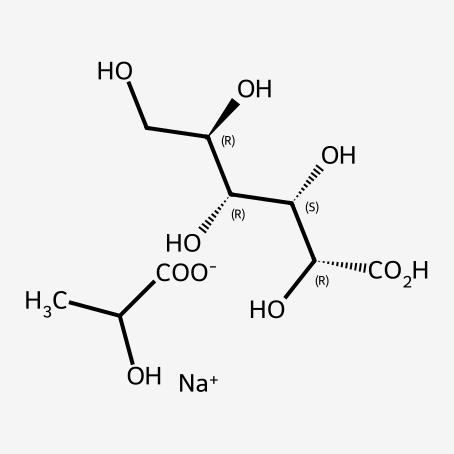 CC(O)C(=O)[O-].O=C(O)[C@H](O)[C@@H](O)[C@H](O)[C@H](O)CO.[Na+]